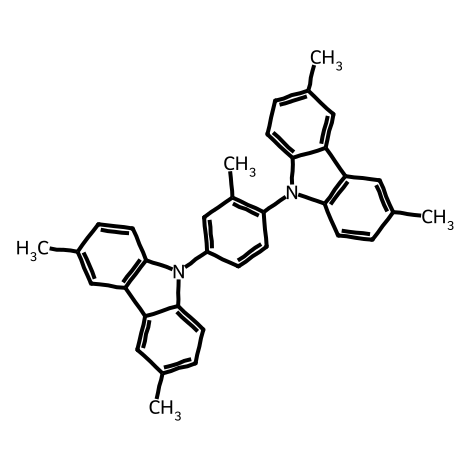 Cc1ccc2c(c1)c1cc(C)ccc1n2-c1ccc(-n2c3ccc(C)cc3c3cc(C)ccc32)c(C)c1